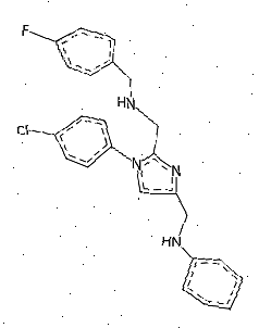 Fc1ccc(CNCc2nc(CNc3ccccc3)cn2-c2ccc(Cl)cc2)cc1